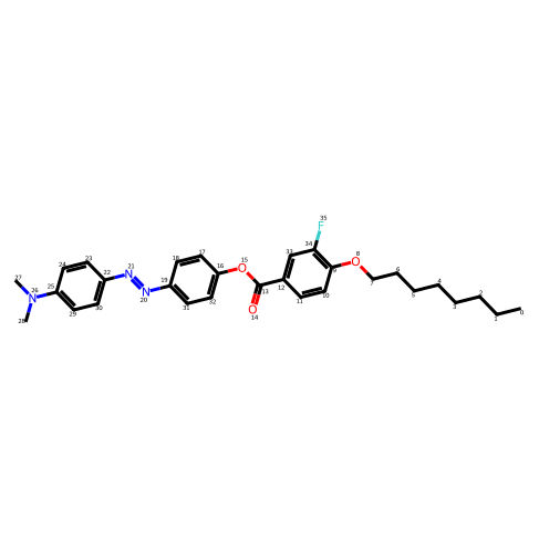 CCCCCCCCOc1ccc(C(=O)Oc2ccc(/N=N/c3ccc(N(C)C)cc3)cc2)cc1F